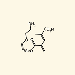 C=C(C=C(C)C(=O)O)C(=O)OC.C=COCCN